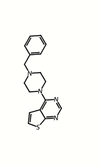 c1ccc(CN2CCN(c3ncnc4sccc34)CC2)cc1